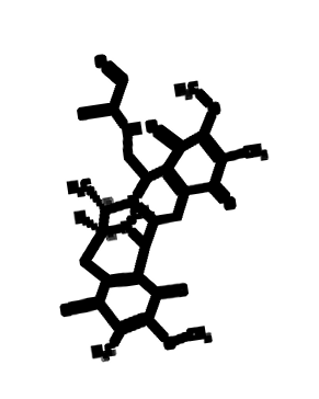 COC1=C(C)C(=O)C2=C(C1=O)C1C3CC4=C(C(=O)C(OC)=C(C)C4=O)C(CNC(=O)C=O)N3[C@@H](C)[C@H](C2)N1C